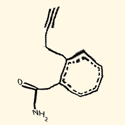 C#C[CH]c1ccccc1C(N)=O